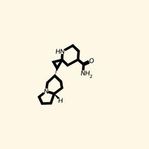 NC(=O)C1CCNC2(C1)CC2[C@@H]1CC[C@@H]2CCCN2C1